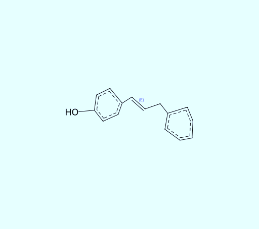 Oc1ccc(/C=C/Cc2ccccc2)cc1